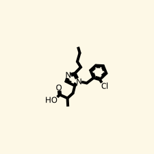 CCCCc1ncc(CC(C)C(=O)O)n1Cc1ccccc1Cl